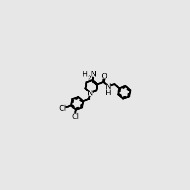 NC1=C(C(=O)NCc2ccccc2)CN(Cc2ccc(Cl)c(Cl)c2)CC1